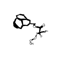 O=C(OCc1cc2c3c(cccc3c1)CC=C2)C(F)(F)SOOO